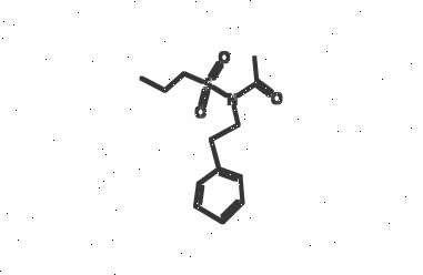 CCCS(=O)(=O)N(CCc1ccccc1)C(C)=O